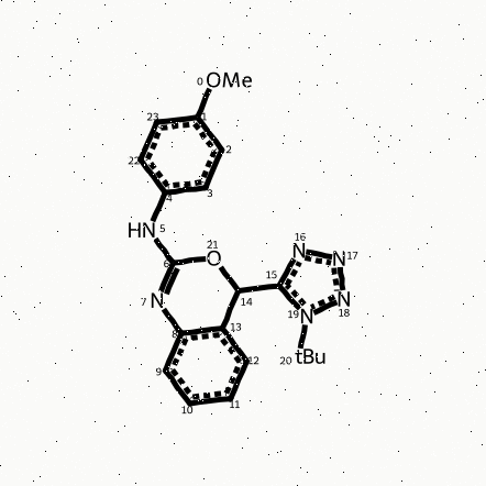 COc1ccc(NC2=Nc3ccccc3C(c3nnnn3C(C)(C)C)O2)cc1